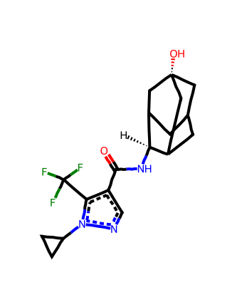 O=C(N[C@H]1C2CC3CC1C[C@](O)(C3)C2)c1cnn(C2CC2)c1C(F)(F)F